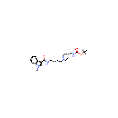 Cn1cc(C(=O)NCCCCN2CCC(CNC(=O)OC(C)(C)C)CC2)c2ccccc21